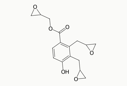 O=C(OCC1CO1)c1ccc(O)c(CC2CO2)c1CC1CO1